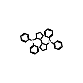 c1ccc(P(c2ccccc2)C2CCCC2C2CCCC2P(c2ccccc2)c2ccccc2)cc1